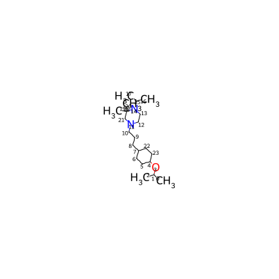 CC(C)OC1CCC(CCCN2CCN(C(C)C)C(C)(C)C2)CC1